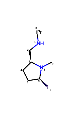 CC(C)NC[C@@H]1CC[C@H](I)N1C